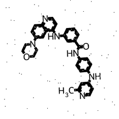 Cc1cc(Nc2ccc(NC(=O)c3cccc(Nc4ccnc5ccc(N6CCOCC6)cc45)c3)cc2)ccn1